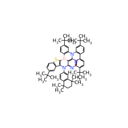 CC(C)(C)c1ccc(-c2ccc(C(C)(C)C)cc2N2c3cc(C(C)(C)C)ccc3B3c4sc5ccc(C(C)(C)C)cc5c4N(c4ccc5c(c4)C(C)(C)CCC5(C)C)c4ncnc2c43)cc1